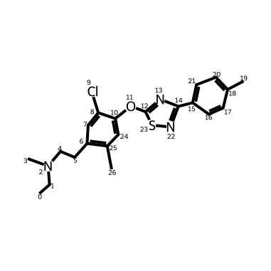 CCN(C)CCc1cc(Cl)c(Oc2nc(-c3ccc(C)cc3)ns2)cc1C